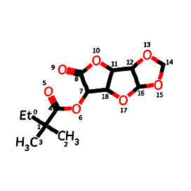 CCC(C)(C)C(=O)OC1C(=O)OC2C3OCOC3OC12